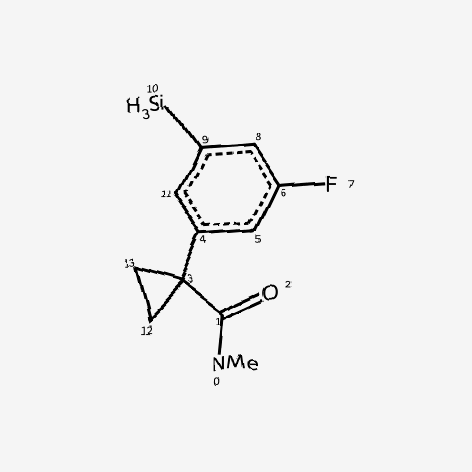 CNC(=O)C1(c2cc(F)cc([SiH3])c2)CC1